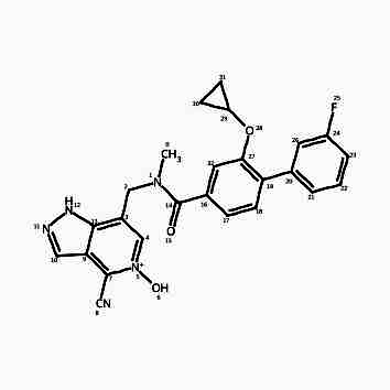 CN(Cc1c[n+](O)c(C#N)c2cn[nH]c12)C(=O)c1ccc(-c2cccc(F)c2)c(OC2CC2)c1